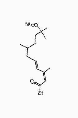 CCC(=O)C=C(C)C=CCC(C)CCC(C)(C)OC